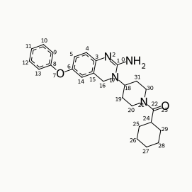 NC1=Nc2ccc(Oc3ccccc3)cc2CN1C1CCN(C(=O)C2CCCCC2)CC1